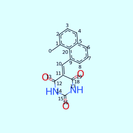 Cc1cccc2cccc(C=C3C(=O)NC(=O)NC3=O)c12